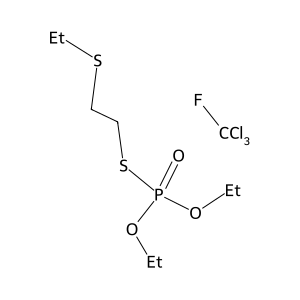 CCOP(=O)(OCC)SCCSCC.FC(Cl)(Cl)Cl